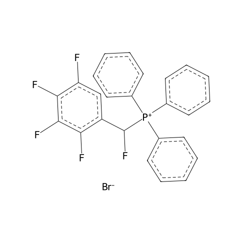 Fc1cc(C(F)[P+](c2ccccc2)(c2ccccc2)c2ccccc2)c(F)c(F)c1F.[Br-]